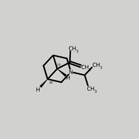 C=C(C)[C@H]1C2C[C@H]1CN(C(C)C)C2